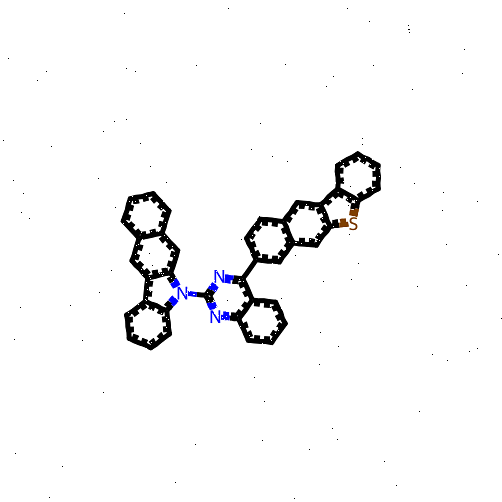 c1ccc2cc3c(cc2c1)c1ccccc1n3-c1nc(-c2ccc3cc4c(cc3c2)sc2ccccc24)c2ccccc2n1